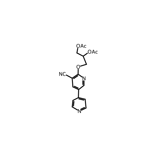 CC(=O)OCC(COc1ncc(-c2ccncc2)cc1C#N)OC(C)=O